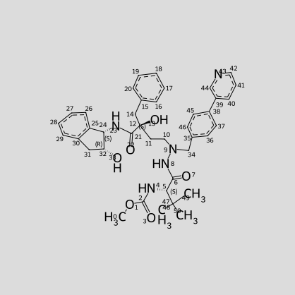 COC(=O)N[C@H](C(=O)NN(CC[C@@](O)(Cc1ccccc1)C(=O)N[C@H]1c2ccccc2C[C@H]1O)Cc1ccc(-c2cccnc2)cc1)C(C)(C)C